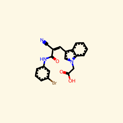 N#CC(=Cc1cn(CC(=O)O)c2ccccc12)C(=O)Nc1cccc(Br)c1